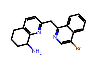 NC1CCCc2ccc(Cc3ncc(Br)c4ccccc34)nc21